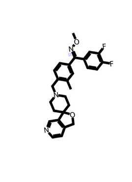 CO/N=C(/c1ccc(CN2CCC3(CC2)OCc2ccncc23)c(C)c1)c1ccc(F)c(F)c1